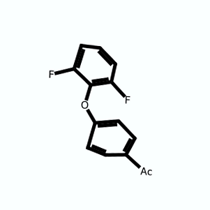 CC(=O)c1ccc(Oc2c(F)cccc2F)cc1